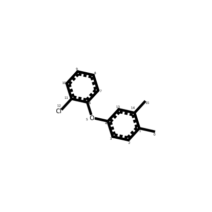 Cc1ccc(Oc2ccccc2Cl)cc1C